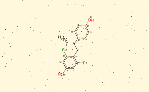 C=CC(Cc1c(F)cc(O)cc1F)c1ccc(O)cc1